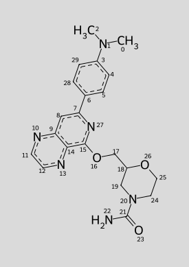 CN(C)c1ccc(-c2cc3nccnc3c(OCC3CN(C(N)=O)CCO3)n2)cc1